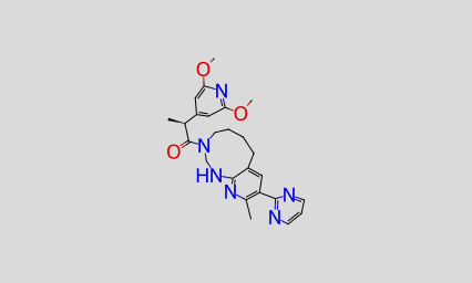 COc1cc([C@H](C)C(=O)N2CCCCc3cc(-c4ncccn4)c(C)nc3NC2)cc(OC)n1